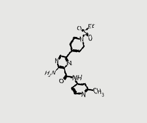 CCS(=O)(=O)N1CC=C(c2cnc(N)c(C(=O)Nc3ccnc(C)c3)n2)CC1